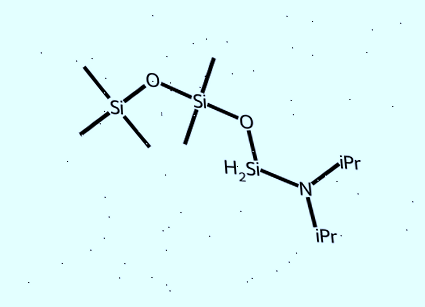 CC(C)N([SiH2]O[Si](C)(C)O[Si](C)(C)C)C(C)C